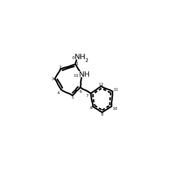 NC1=CC=CC=C(c2ccccc2)N1